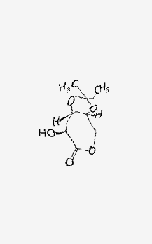 CC1(C)O[C@H]2[C@H](O)C(=O)OC[C@H]2O1